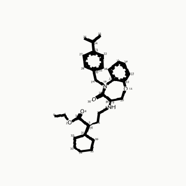 CCOC(=O)[C@@H](CCN[C@@H]1COc2ccccc2N(Cc2ccc(C(C)C)cc2)C1=O)C1CCCCC1